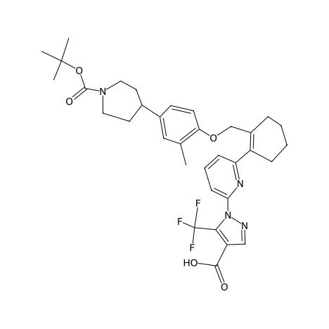 Cc1cc(C2CCN(C(=O)OC(C)(C)C)CC2)ccc1OCC1=C(c2cccc(-n3ncc(C(=O)O)c3C(F)(F)F)n2)CCCC1